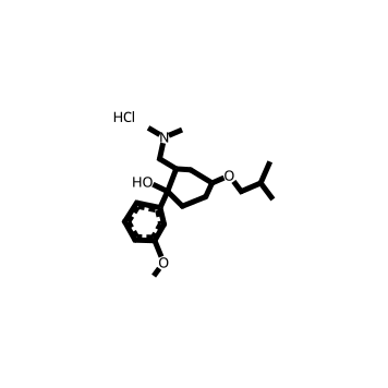 COc1cccc(C2(O)CCC(OCC(C)C)CC2CN(C)C)c1.Cl